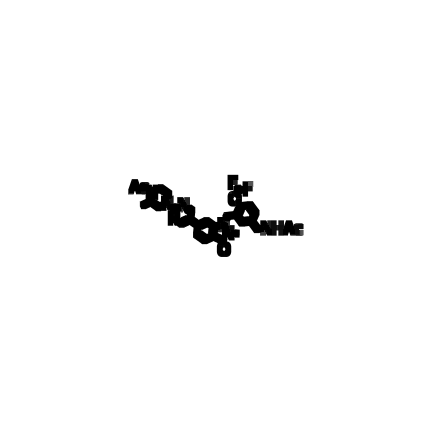 CC(=O)NCc1ccc(OC(F)F)c(Cn2c3cc(-c4cnc(N5CCN(C(C)=O)C(C)C5)nc4)ccc3c(=O)n2C)c1